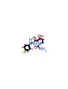 NC(=O)N1CCC(O)C1C(=O)NNc1ccc(F)cc1